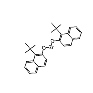 CC(C)(C)c1c([O][Zr][O]c2ccc3ccccc3c2C(C)(C)C)ccc2ccccc12